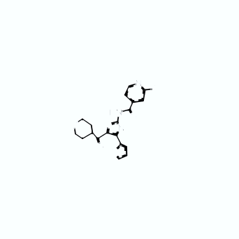 Cc1cc(C(=O)Nc2nc(-c3ccco3)c(C(=O)C3CCOCC3)s2)ccn1